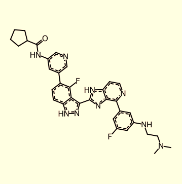 CN(C)CCNc1cc(F)cc(-c2nccc3[nH]c(-c4n[nH]c5ccc(-c6cncc(NC(=O)C7CCCC7)c6)c(F)c45)nc23)c1